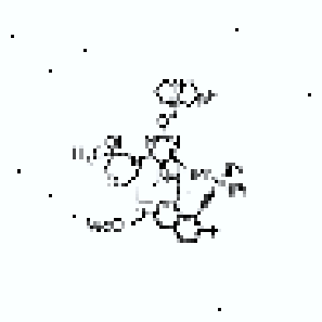 COCOc1cc(Oc2nc3nc(OC[C@@]45CCCN4C[C@H](F)C5)nc(N4CCOCC(C)(O)C4)c3n2C2CCC2)c2c(C#C[Si](C(C)C)(C(C)C)C(C)C)c(F)ccc2c1